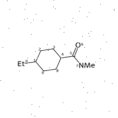 CCC1CCC(C(=O)NC)CC1